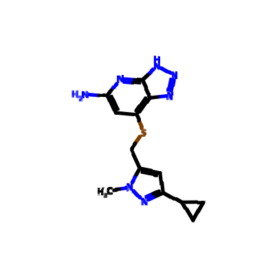 Cn1nc(C2CC2)cc1CSc1cc(N)nc2[nH]nnc12